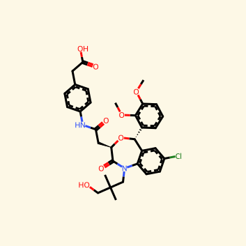 COc1cccc([C@H]2O[C@H](CC(=O)Nc3ccc(CC(=O)O)cc3)C(=O)N(CC(C)(C)CO)c3ccc(Cl)cc32)c1OC